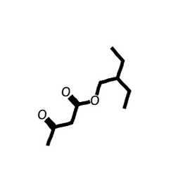 CCC(CC)COC(=O)CC(C)=O